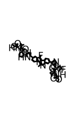 COC(=O)N[C@H](C(=O)N1CCC[C@H]1c1ncc(-c2ccc3c(c2)c(F)c2c4ccc(-c5cnc([C@@H]6C[C@@H](F)CN6C(=O)[C@@H](NC(=O)OC)C(C)C)[nH]5)cc4nc(C)n32)[nH]1)C(C)C